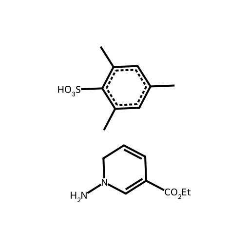 CCOC(=O)C1=CN(N)CC=C1.Cc1cc(C)c(S(=O)(=O)O)c(C)c1